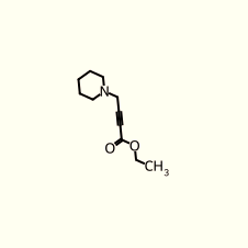 CCOC(=O)C#CCN1CCCCC1